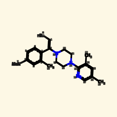 CCCC/C=C(\c1ccc(NC)cc1C)N1CCN(c2ncc(C)cc2C)CC1